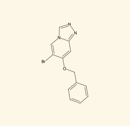 Brc1cn2cnnc2cc1OCc1ccccc1